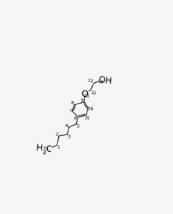 CCCCCCc1ccc(OCCO)cc1